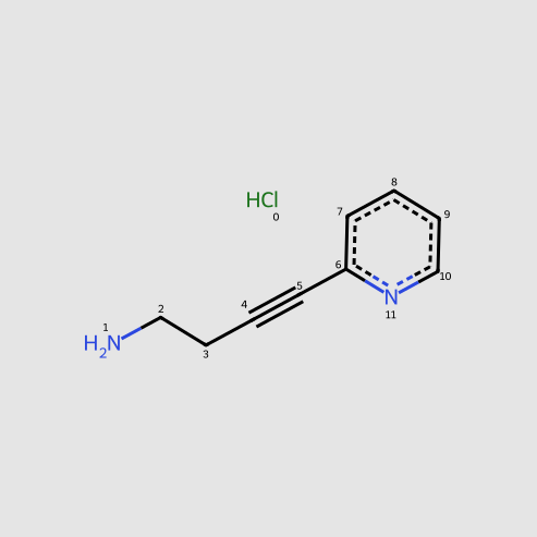 Cl.NCCC#Cc1ccccn1